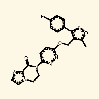 Cc1onc(-c2ccc(F)cc2)c1COc1ccc(N2CCn3ccnc3C2=O)nn1